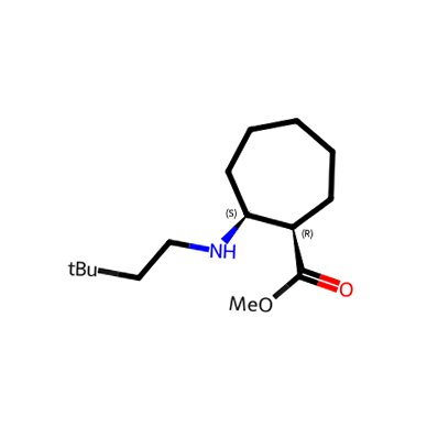 COC(=O)[C@@H]1CCCCC[C@@H]1NCCC(C)(C)C